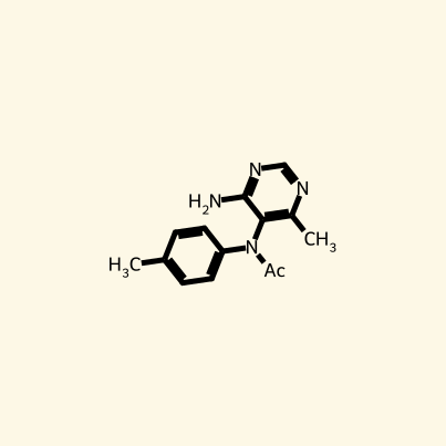 CC(=O)N(c1ccc(C)cc1)c1c(C)ncnc1N